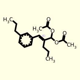 CCC/C(=C\c1cccc(CCC)c1)C(OC(C)=O)OC(C)=O